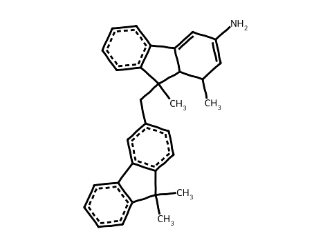 CC1C=C(N)C=C2c3ccccc3C(C)(Cc3ccc4c(c3)-c3ccccc3C4(C)C)C21